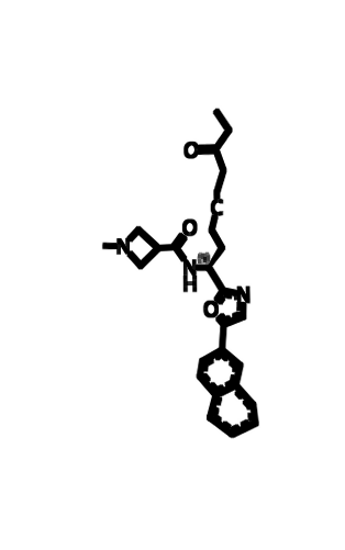 CCC(=O)CCCCC[C@H](NC(=O)C1CN(C)C1)c1ncc(-c2ccc3ccccc3c2)o1